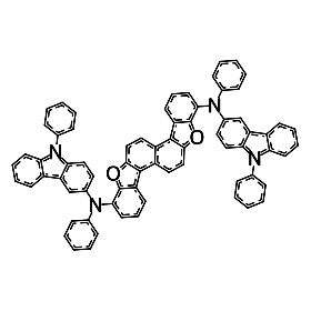 c1ccc(N(c2ccc3c(c2)c2ccccc2n3-c2ccccc2)c2cccc3c2oc2ccc4c(ccc5oc6c(N(c7ccccc7)c7ccc8c(c7)c7ccccc7n8-c7ccccc7)cccc6c54)c23)cc1